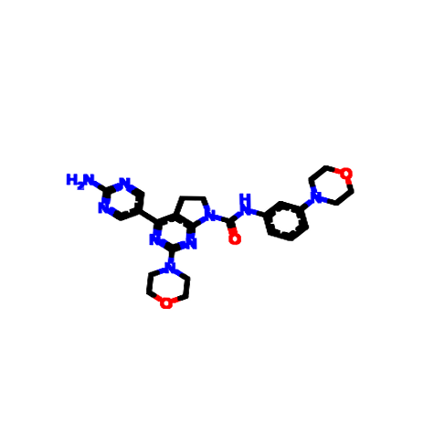 Nc1ncc(-c2nc(N3CCOCC3)nc3c2CCN3C(=O)Nc2cccc(N3CCOCC3)c2)cn1